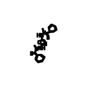 CN(Nc1cnc(NN(C)C(=S)c2ccccc2)o1)C(=S)c1ccccc1